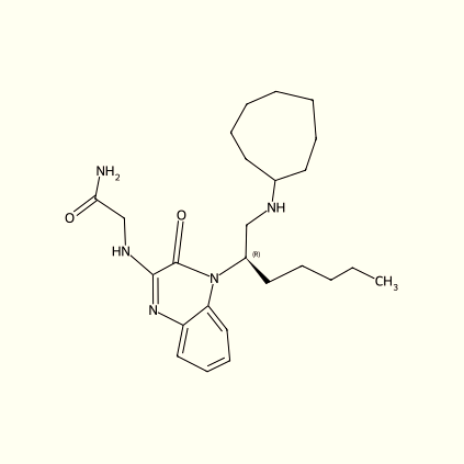 CCCCC[C@H](CNC1CCCCCCC1)n1c(=O)c(NCC(N)=O)nc2ccccc21